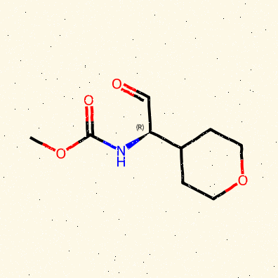 COC(=O)N[C@@H](C=O)C1CCOCC1